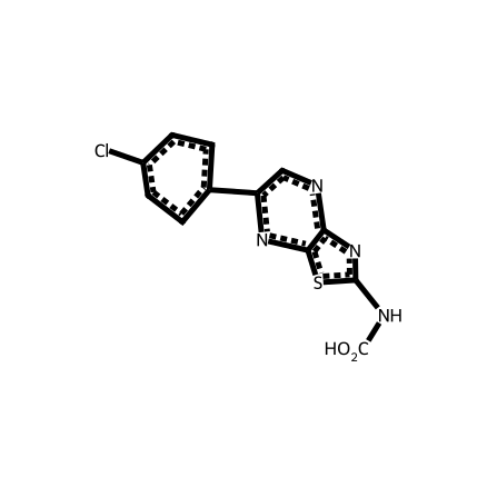 O=C(O)Nc1nc2ncc(-c3ccc(Cl)cc3)nc2s1